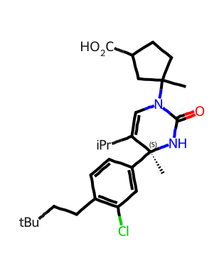 CC(C)C1=CN(C2(C)CCC(C(=O)O)C2)C(=O)N[C@@]1(C)c1ccc(CCC(C)(C)C)c(Cl)c1